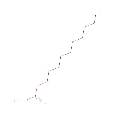 CCCCCCCCC(=O)OCCCCCCCCCC(C)C